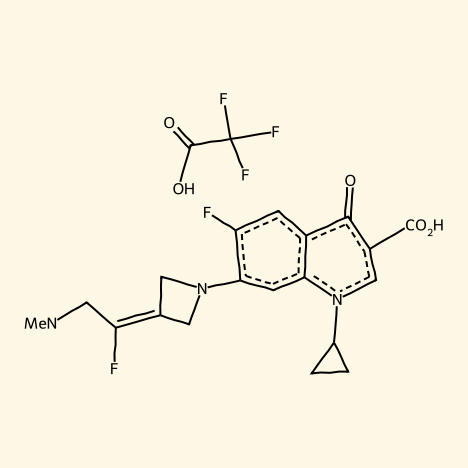 CNCC(F)=C1CN(c2cc3c(cc2F)c(=O)c(C(=O)O)cn3C2CC2)C1.O=C(O)C(F)(F)F